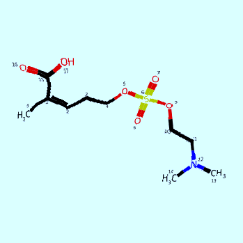 CC(=CCCOS(=O)(=O)OCCN(C)C)C(=O)O